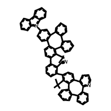 CC(C)(C)c1c(-c2cccc(-c3ccc4c(c3C(C)(C)C)-c3ccccc3-c3ccccc3-c3ncccc3-4)c2C#N)ccc2c1-c1ccccc1-c1ccccc1-c1cc(-n3c4ccccc4c4ccccc43)ccc1-2